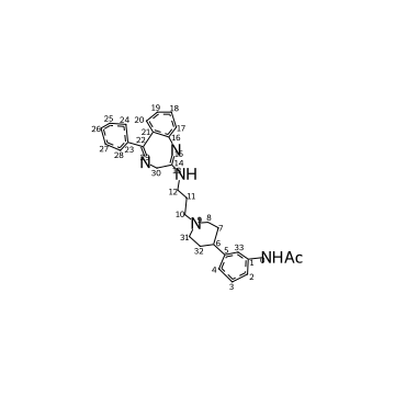 CC(=O)Nc1cccc(C2CCN(CCCNC3=Nc4ccccc4C(c4ccccc4)=NC3)CC2)c1